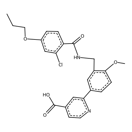 CCCOc1ccc(C(=O)NCc2cc(-c3cc(C(=O)O)ccn3)ccc2OC)c(Cl)c1